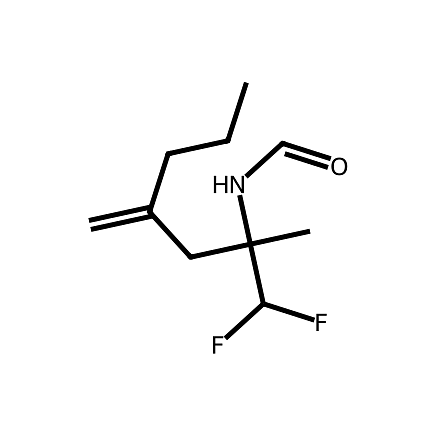 C=C(CCC)CC(C)(NC=O)C(F)F